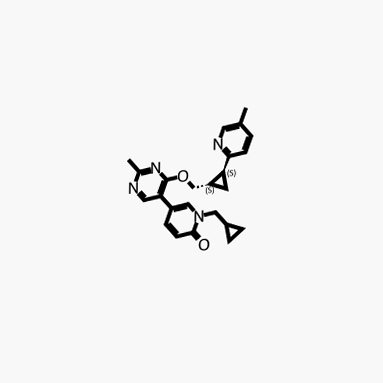 Cc1ccc([C@H]2C[C@@H]2COc2nc(C)ncc2-c2ccc(=O)n(CC3CC3)c2)nc1